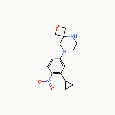 O=[N+]([O-])c1ccc(N2CCNC3(COC3)C2)cc1C1CC1